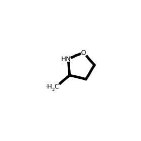 [CH2]C1CCON1